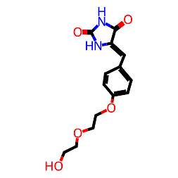 O=C1NC(=O)/C(=C/c2ccc(OCCOCCO)cc2)N1